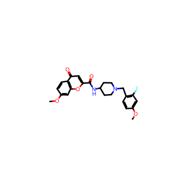 COc1ccc(CN2CCC(NC(=O)c3cc(=O)c4ccc(OC)cc4o3)CC2)c(F)c1